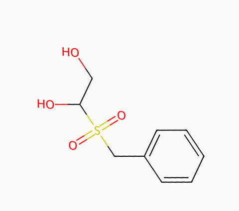 O=S(=O)(Cc1ccccc1)C(O)CO